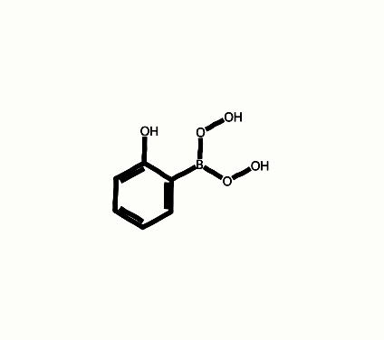 OOB(OO)c1ccccc1O